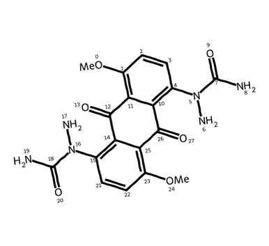 COc1ccc(N(N)C(N)=O)c2c1C(=O)c1c(N(N)C(N)=O)ccc(OC)c1C2=O